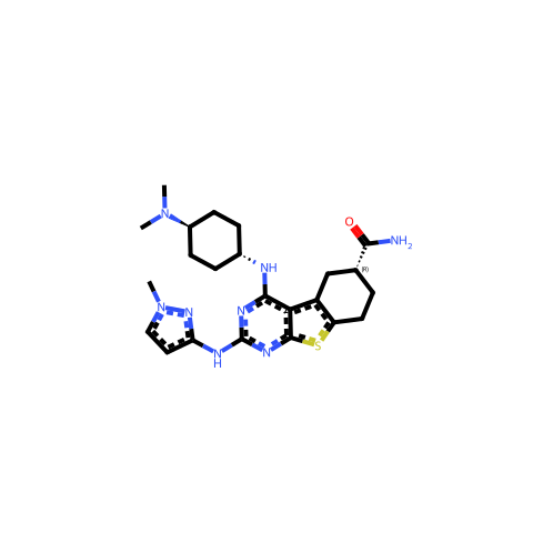 Cn1ccc(Nc2nc(N[C@H]3CC[C@H](N(C)C)CC3)c3c4c(sc3n2)CC[C@@H](C(N)=O)C4)n1